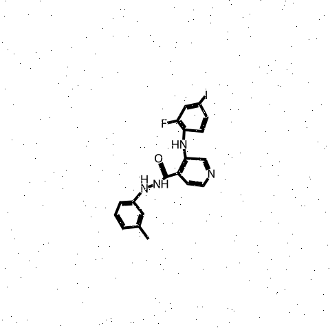 Cc1cccc(NNC(=O)c2ccncc2Nc2ccc(I)cc2F)c1